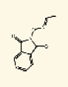 CC=NON1C(=O)c2ccccc2C1=O